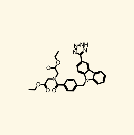 CCOC(=O)CN(CC(=O)OCC)C(=O)c1ccc(Cn2c3ccccc3c3cc(-c4nn[nH]n4)ccc32)cc1